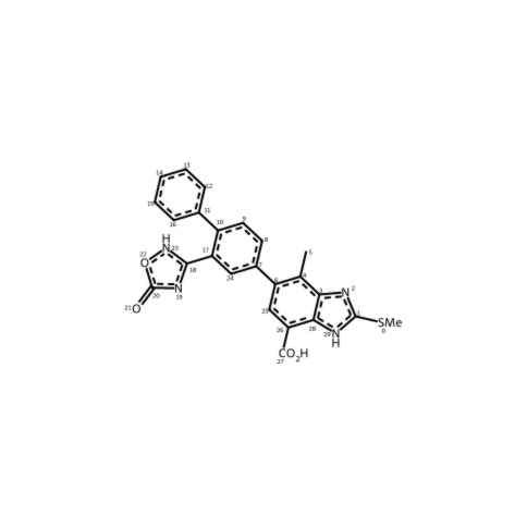 CSc1nc2c(C)c(-c3ccc(-c4ccccc4)c(-c4nc(=O)o[nH]4)c3)cc(C(=O)O)c2[nH]1